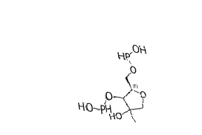 CC1(O)CO[C@H](COPO)C1OPO